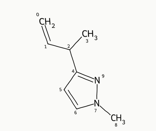 C=CC(C)c1ccn(C)n1